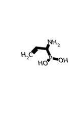 C=CC(N)P(O)O